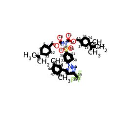 C=C(C)[C@@H]1CC=C(COC(=O)N(C(=O)OCC2=CC[C@@](C)(C(=C)C)CC2)S(=O)(=O)c2ccc(-n3nc(C(F)(F)F)cc3-c3cc(C)ccc3C)cc2)CC1